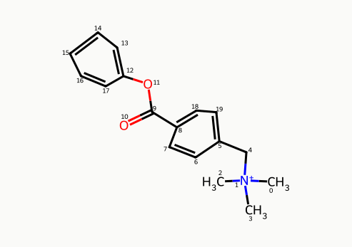 C[N+](C)(C)Cc1ccc(C(=O)Oc2ccccc2)cc1